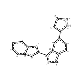 c1ccc2sc(-c3n[nH]c4ccc(-c5nnn[nH]5)cc34)cc2c1